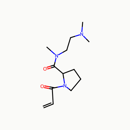 C=CC(=O)N1CCCC1C(=O)N(C)CCN(C)C